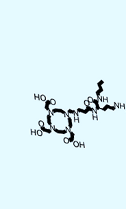 CCCCNC(=O)[C@@H](CCCN)NC(=O)CCNCN1CCN(CC(=O)O)CCN(CC(=O)O)CCN(CC(=O)O)CC1